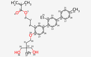 C=C(C)C(=O)OCCCc1cc(-c2ccc(-c3ccc(C)cc3)cc2CC)ccc1OCCC(CO)(CO)CCC